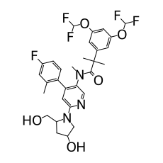 Cc1cc(F)ccc1-c1cc(N2CC(O)CC2CO)ncc1N(C)C(=O)C(C)(C)c1cc(OC(F)F)cc(OC(F)F)c1